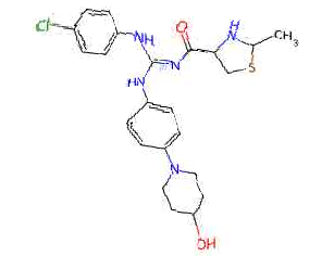 CC1NC(C(=O)/N=C(\Nc2ccc(Cl)cc2)Nc2ccc(N3CCC(O)CC3)cc2)CS1